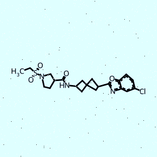 CCS(=O)(=O)N1CCC(C(=O)NC2CC3(C2)CC(c2nc4cc(Cl)ccc4o2)C3)C1